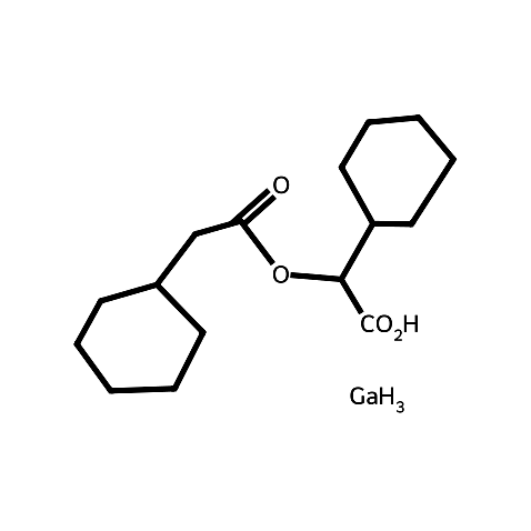 O=C(CC1CCCCC1)OC(C(=O)O)C1CCCCC1.[GaH3]